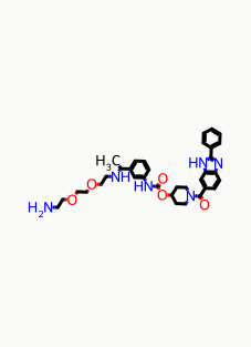 CC(NCCOCCOCCN)c1cccc(NC(=O)OC2CCN(C(=O)c3ccc4nc(-c5ccccc5)[nH]c4c3)CC2)c1